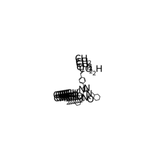 C=C.C=C.C=C.C=C.C=C.C=C.C=C.C=C.C=C.O=C(O)C=Cc1ccc(-c2nc3c(c(=O)n(CC4CCCCC4)c(=O)n3CC3CCCCC3)n2Cc2ccccc2)cc1